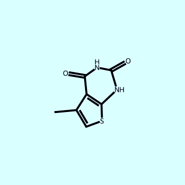 Cc1csc2[nH]c(=O)[nH]c(=O)c12